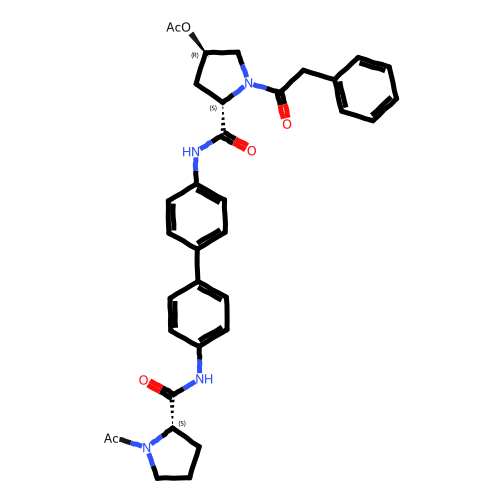 CC(=O)O[C@@H]1C[C@@H](C(=O)Nc2ccc(-c3ccc(NC(=O)[C@@H]4CCCN4C(C)=O)cc3)cc2)N(C(=O)Cc2ccccc2)C1